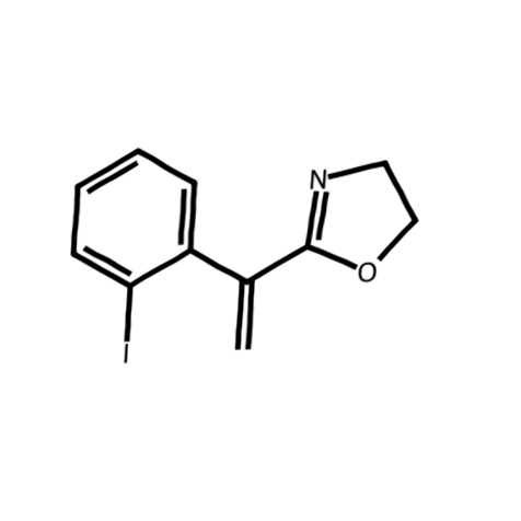 C=C(C1=NCCO1)c1ccccc1I